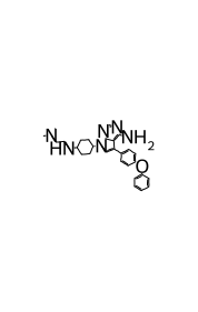 CN(C)CCN[C@H]1CC[C@H](n2cc(-c3ccc(Oc4ccccc4)cc3)c3c(N)ncnc32)CC1